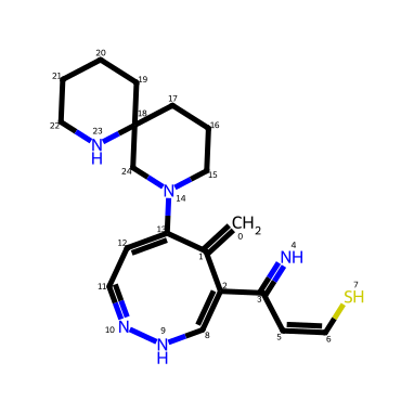 C=C1/C(C(=N)/C=C\S)=C\N/N=C\C=C/1N1CCCC2(CCCCN2)C1